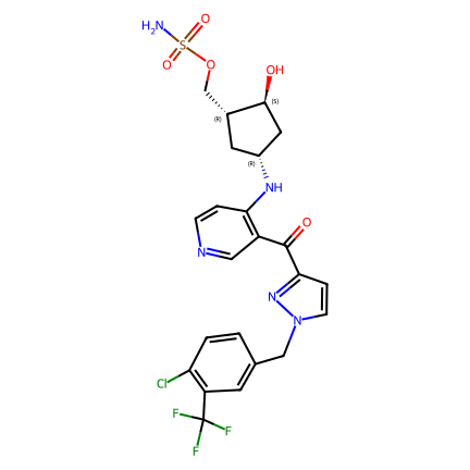 NS(=O)(=O)OC[C@H]1C[C@@H](Nc2ccncc2C(=O)c2ccn(Cc3ccc(Cl)c(C(F)(F)F)c3)n2)C[C@@H]1O